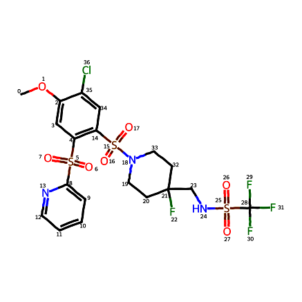 COc1cc(S(=O)(=O)c2ccccn2)c(S(=O)(=O)N2CCC(F)(CNS(=O)(=O)C(F)(F)F)CC2)cc1Cl